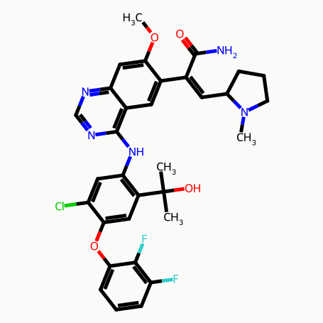 COc1cc2ncnc(Nc3cc(Cl)c(Oc4cccc(F)c4F)cc3C(C)(C)O)c2cc1C(=CC1CCCN1C)C(N)=O